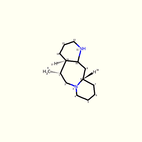 C[C@H]1CN2CCCC[C@H]2CC2NCCC[C@@H]21